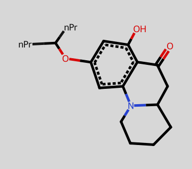 CCCC(CCC)Oc1cc(O)c2c(c1)N1CCCCC1CC2=O